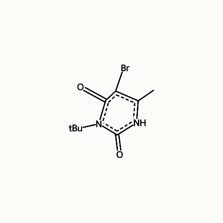 Cc1[nH]c(=O)n(C(C)(C)C)c(=O)c1Br